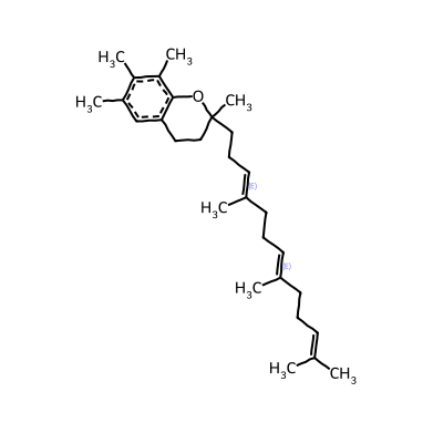 CC(C)=CCC/C(C)=C/CC/C(C)=C/CCC1(C)CCc2cc(C)c(C)c(C)c2O1